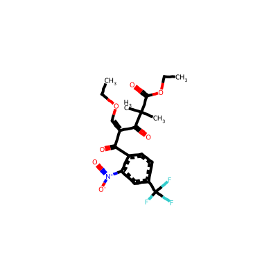 CCOC=C(C(=O)c1ccc(C(F)(F)F)cc1[N+](=O)[O-])C(=O)C(C)(C)C(=O)OCC